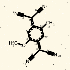 COc1cc(=C(C#N)C#N)c(C)cc1=C(C#N)C#N